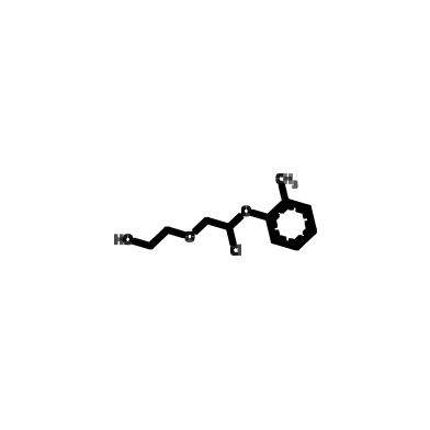 Cc1ccccc1OC(Cl)COCCO